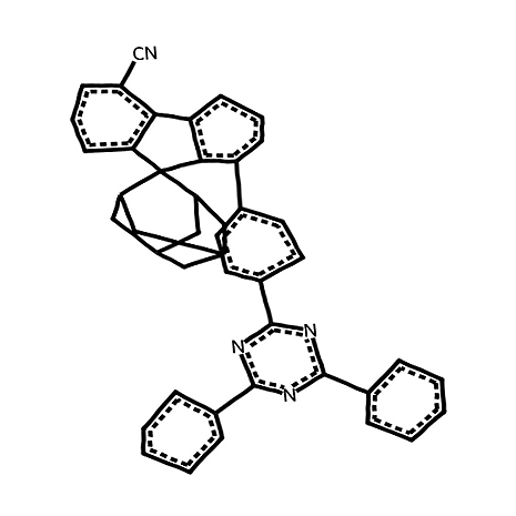 N#Cc1cccc2c1-c1cccc(-c3ccc(-c4nc(-c5ccccc5)nc(-c5ccccc5)n4)cc3)c1C21C2CC3CC(C2)CC1C3